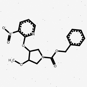 COC1CN(C(=O)OCc2ccccc2)CC1Oc1ncccc1[N+](=O)[O-]